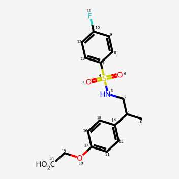 CC(CNS(=O)(=O)c1ccc(F)cc1)c1ccc(OCC(=O)O)cc1